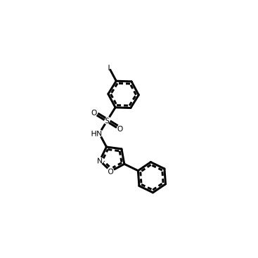 O=S(=O)(Nc1cc(-c2ccccc2)on1)c1cccc(I)c1